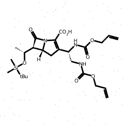 C=CCOC(=O)NC[C@@H](NC(=O)OCC=C)C1=C(C(=O)O)N2C(=O)[C@H]([C@@H](C)O[Si](C)(C)C(C)(C)C)[C@H]2C1